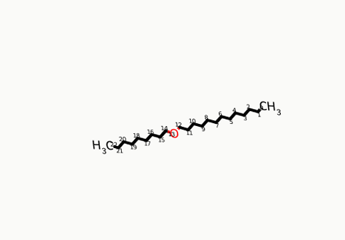 CCCCCCCCCCCCCOCCCCCCCCC